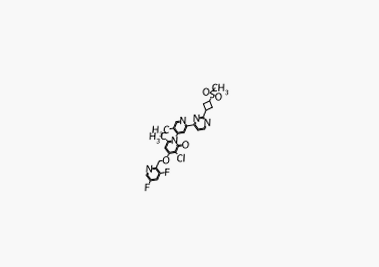 Cc1cnc(-c2ccnc(C3CC(S(C)(=O)=O)C3)n2)cc1-n1c(C)cc(OCc2ncc(F)cc2F)c(Cl)c1=O